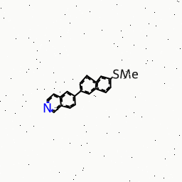 CSc1ccc2cc(-c3ccc4cnccc4c3)ccc2c1